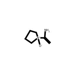 C=C(N)[N+]1([O-])CCCC1